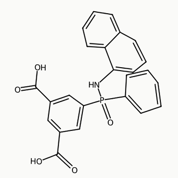 O=C(O)c1cc(C(=O)O)cc(P(=O)(Nc2cccc3ccccc23)c2ccccc2)c1